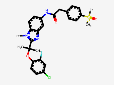 CCn1c(C(C)(C)Oc2ccc(Cl)cc2F)nc2cc(NC(=O)Cc3ccc([SH](C)(=O)CC)cc3)ccc21